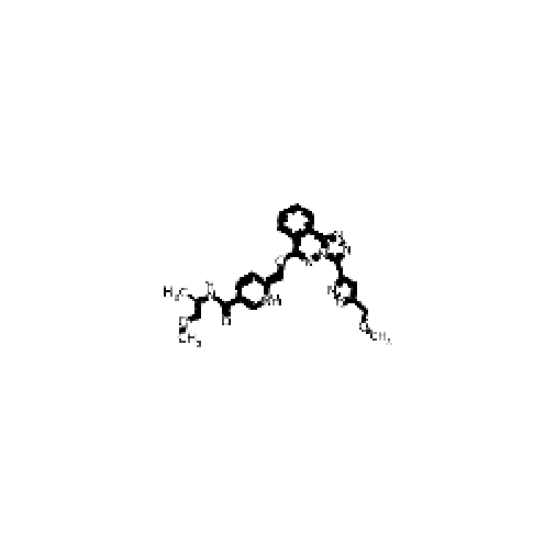 COCc1cc(-c2nnc3c4ccccc4c(OC=C4C=CC(C(=O)N[C@H](C)COC)=CN4)nn23)no1